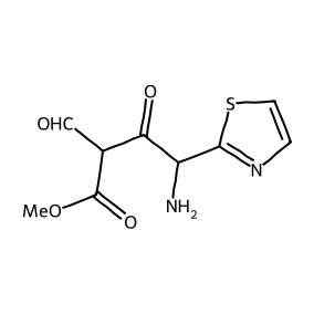 COC(=O)C(C=O)C(=O)C(N)c1nccs1